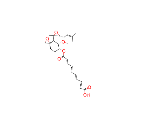 CO[C@@H]1[C@H](OC(=O)/C=C/C=C/C=C/C=C/C(=O)O)CC[C@]2(CO2)[C@H]1[C@]1(C)O[C@@H]1CC=C(C)C